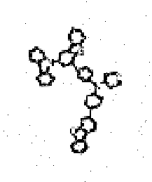 C1=C(c2ccc3c(c2)oc2ccccc23)CCC(N(c2ccccc2)c2ccc(-c3cc(-n4c5ccccc5c5ccccc54)cc4c3sc3ccccc34)cc2)=C1